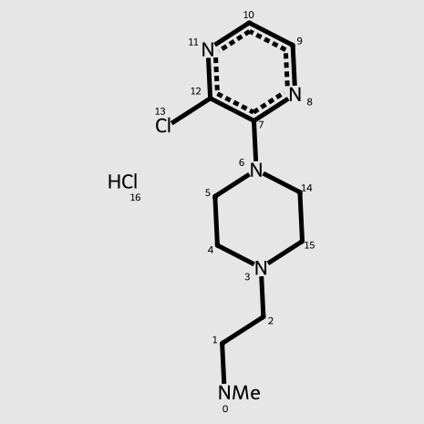 CNCCN1CCN(c2nccnc2Cl)CC1.Cl